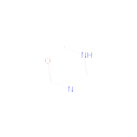 [CH]1NC=NCO1